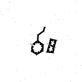 CCCc1ccccn1.c1cc2ccc1-2